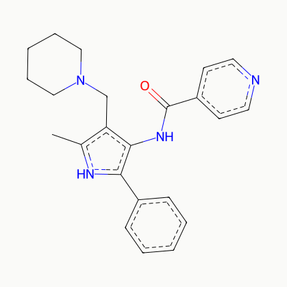 Cc1[nH]c(-c2ccccc2)c(NC(=O)c2ccncc2)c1CN1CCCCC1